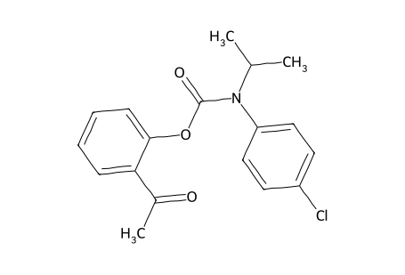 CC(=O)c1ccccc1OC(=O)N(c1ccc(Cl)cc1)C(C)C